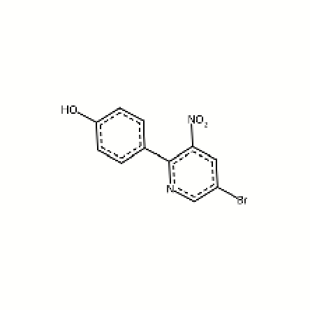 O=[N+]([O-])c1cc(Br)cnc1-c1ccc(O)cc1